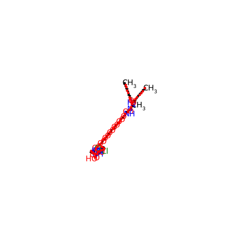 CCCCCCCCCCCCCCCCOCC(CN(C)CCCNC(=O)CCC(=O)NCCOCCOCCOCCOCCOCCOCCOCCOCCOCCOCCOCCOCCC(=O)NCCC1(C(=O)N[C@H](CC(=O)O)Cc2ccc(NC(=O)c3c(Cl)cccc3Cl)cc2)CCCC1)OCCCCCCCCCCCCCCCC